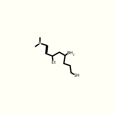 BC(CCCS)CC(/C=C/P(C)C)CC